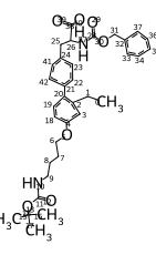 CCc1cc(OCCCCNC(=O)OC(C)(C)C)ccc1-c1ccc(CC(NC(=O)OCc2ccccc2)C(=O)O)cc1